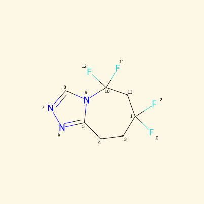 FC1(F)CCc2nncn2C(F)(F)C1